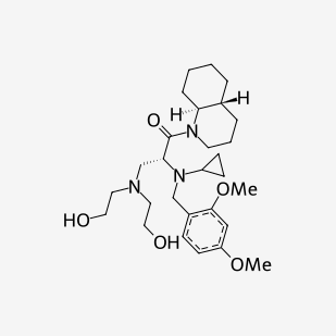 COc1ccc(CN(C2CC2)[C@H](CN(CCO)CCO)C(=O)N2CCC[C@H]3CCCC[C@@H]32)c(OC)c1